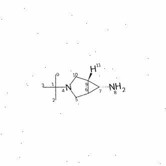 CC(C)(C)N1CC2[C@@H](N)[C@H]2C1